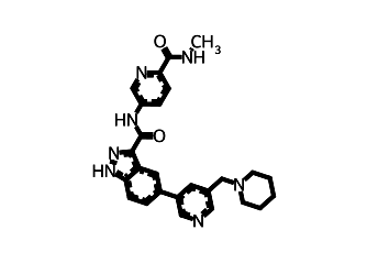 CNC(=O)c1ccc(NC(=O)c2n[nH]c3ccc(-c4cncc(CN5CCCCC5)c4)cc23)cn1